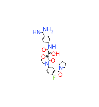 N=C(N)c1ccc(NC(=O)[C@H](O)[C@H]2OCCN(c3ccc(F)c(C(=O)N4CCCC4)c3)C2=O)cc1